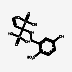 C=CC(NCc1cc(O)ccc1S(=O)(=O)O)(P(=O)(O)O)P(=O)(O)O